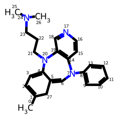 CC1=CC=C2C(=CN(c3ccccc3)c3ccncc3N2CCCN(C)C)C1